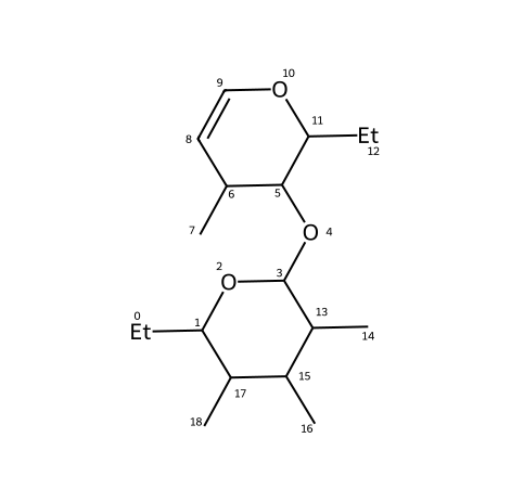 CCC1OC(OC2C(C)C=COC2CC)C(C)C(C)C1C